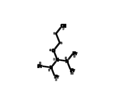 CC(C)N(C(C)C)N(OCCC#N)N(C(C)C)C(C)C